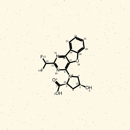 O=C(O)[C@@H]1C[C@H](O)CN1c1nc(C(F)F)nc2c1oc1ccccc12